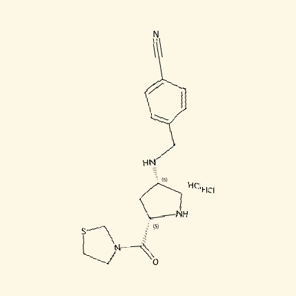 Cl.Cl.N#Cc1ccc(CN[C@@H]2CN[C@H](C(=O)N3CCSC3)C2)cc1